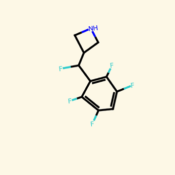 Fc1cc(F)c(F)c(C(F)C2CNC2)c1F